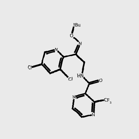 CC(C)(C)O/N=C(/CNC(=O)c1nccnc1C(F)(F)F)c1ncc(Cl)cc1Cl